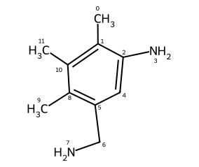 Cc1c(N)cc(CN)c(C)c1C